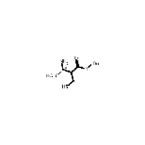 CC(C)(C)OC(=O)C(CS)[C@@H](N)C(=O)O